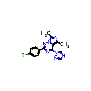 Cc1nc(C)n2nc(-c3ccc(Br)cc3)nc(-n3cncn3)c12